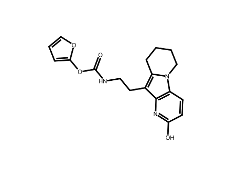 O=C(NCCc1c2n(c3ccc(O)nc13)CCCC2)Oc1ccco1